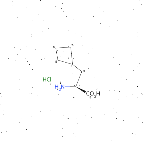 Cl.N[C@@H](CC1CCC1)C(=O)O